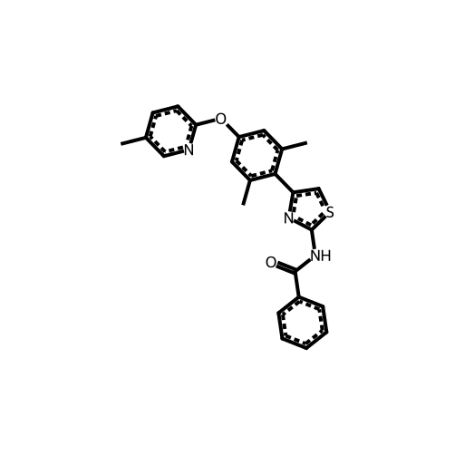 Cc1ccc(Oc2cc(C)c(-c3csc(NC(=O)c4ccccc4)n3)c(C)c2)nc1